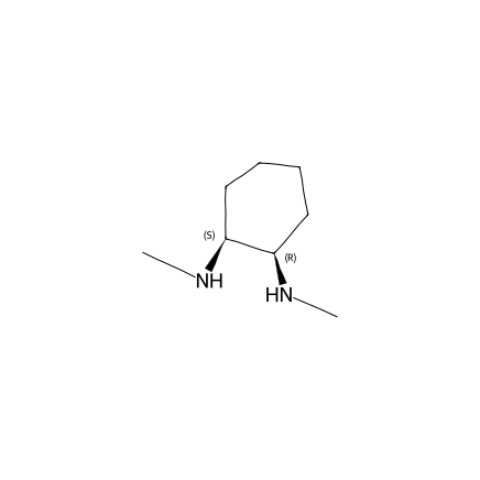 CN[C@H]1CCCC[C@H]1NC